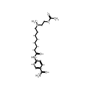 CC(=O)OCCN(C)CCCCCCCC(=O)Nc1ccc(C(N)=O)cn1